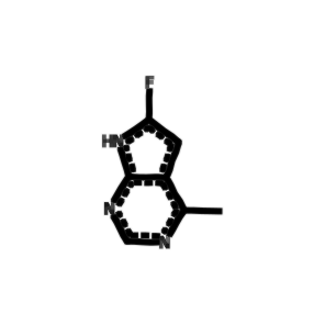 Cc1ncnc2[nH]c(F)cc12